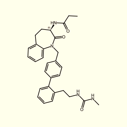 CCC(=O)N[C@@H]1CCc2ccccc2N(Cc2ccc(-c3ccccc3CCNC(=O)NC)cc2)C1=O